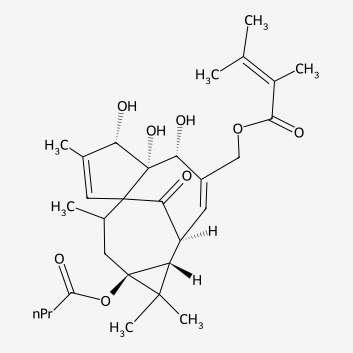 CCCC(=O)O[C@@]12CC(C)C34C=C(C)[C@H](O)[C@@]3(O)[C@H](O)C(COC(=O)C(C)=C(C)C)=C[C@H](C4=O)[C@@H]1C2(C)C